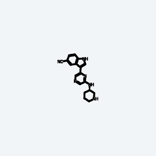 N#Cc1ccc2[nH]cc(-c3cncc(N[C@@H]4CCCNC4)n3)c2c1